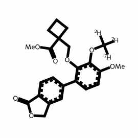 [2H]C([2H])([2H])Oc1c(OC)ccc(-c2ccc3c(c2)COC3=O)c1OCC1(C(=O)OC)CCC1